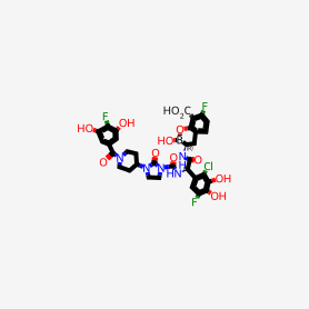 O=C(O)c1c(F)ccc2c1OB(O)[C@@H](NC(=O)[C@@H](NC(=O)N1CCN(C3CCN(C(=O)c4cc(O)c(F)c(O)c4)CC3)C1=O)c1cc(F)c(O)c(O)c1Cl)C2